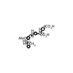 COc1cc(CC(=O)Nc2ccc([C@@H](CC(=O)O)NC(=O)C3CCN(CC(=O)O)CC3)cc2)ccc1NC(=O)Nc1ccccc1C